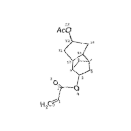 C=CC(=O)OC1CC2CC1C1CC(OC(C)=O)CC21